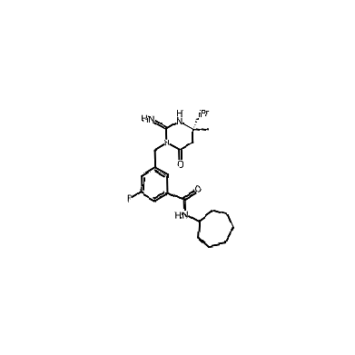 CC(C)[C@]1(C)CC(=O)N(Cc2cc(F)cc(C(=O)NC3CCCCCC3)c2)C(=N)N1